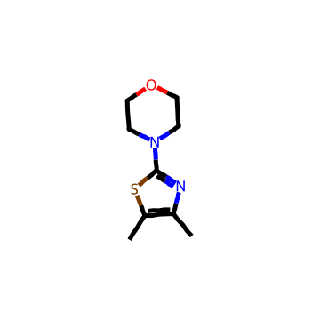 Cc1nc(N2CCOCC2)sc1C